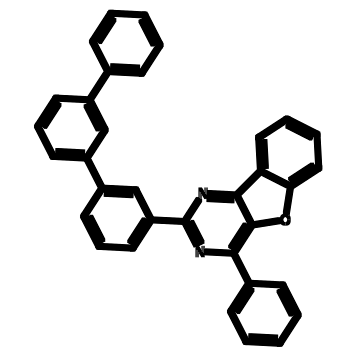 c1ccc(-c2cccc(-c3cccc(-c4nc(-c5ccccc5)c5oc6ccccc6c5n4)c3)c2)cc1